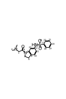 CN(C)CC(=O)N1CCc2ccc(NS(=O)(=O)c3ccccc3)cc21